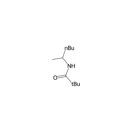 CCCCC(C)NC(=O)C(C)(C)C